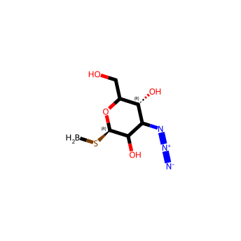 BS[C@H]1OC(CO)[C@H](O)C(N=[N+]=[N-])C1O